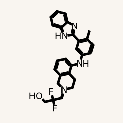 Cc1ccc(Nc2cccc3c2CCN(CC(F)(F)CO)C3)cc1-c1nc2ccccc2[nH]1